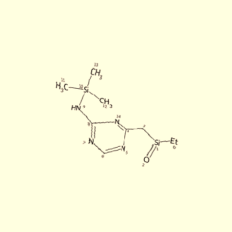 CC[Si](=O)Cc1ncnc(N[Si](C)(C)C)n1